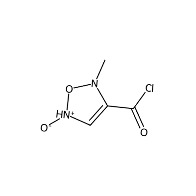 CN1O[NH+]([O-])C=C1C(=O)Cl